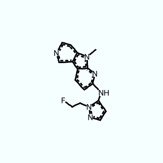 Cn1c2ccncc2c2ccc(Nc3ccnn3CCF)nc21